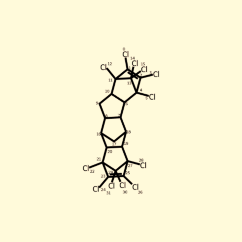 ClC1=C(Cl)C2(Cl)C3C4C(CC3C1(Cl)C2(Cl)Cl)C1CC4C2C1C1(Cl)C(Cl)=C(Cl)C2(Cl)C1(Cl)Cl